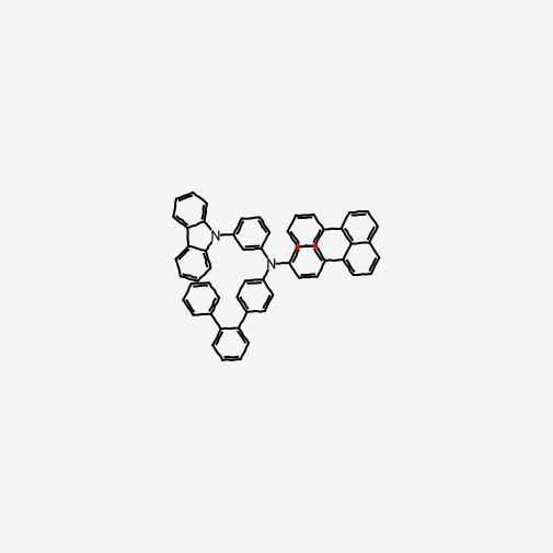 c1ccc(-c2ccccc2-c2ccc(N(c3ccc(-c4cccc5cccc(-c6ccccc6)c45)cc3)c3cccc(-n4c5ccccc5c5ccccc54)c3)cc2)cc1